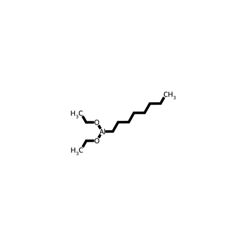 CCCCCCC[CH2][Al]([O]CC)[O]CC